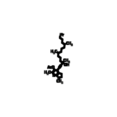 CC(=O)Oc1c(C)nc2c(c1C#CC(C)(O)CCCC(C)CCC[C@H](C)CCCC(C)C)CCN2C